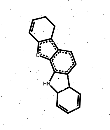 C1=CC2Nc3c(ccc4c5c(oc34)C=CCC5)C2C=C1